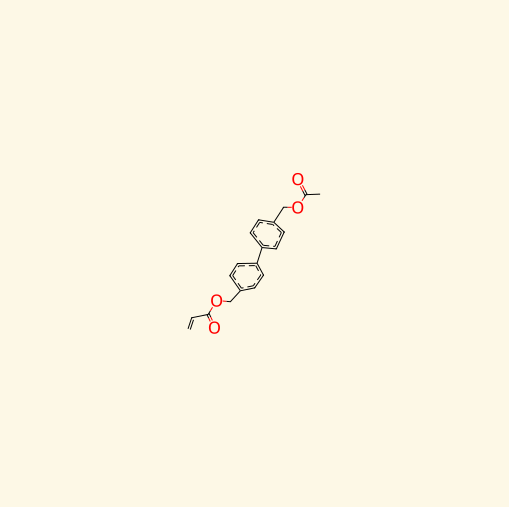 C=CC(=O)OCc1ccc(-c2ccc(COC(C)=O)cc2)cc1